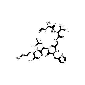 CSCC[C@H](NC(=O)[C@H](CC(C)C)NC(=O)[C@H](Cc1cnc[nH]1)NC(=O)CNC(=O)[C@@H](NC(=O)[C@H](C)NC=O)C(C)C)C(N)=O